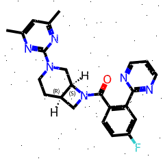 Cc1cc(C)nc(N2CC[C@@H]3CN(C(=O)c4ccc(F)cc4-c4ncccn4)[C@@H]3C2)n1